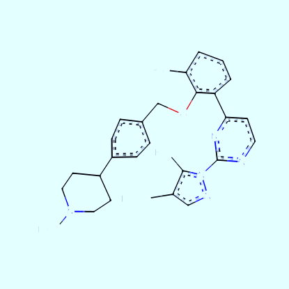 CCOC(=O)c1cnn(-c2nccc(-c3cccc(C(F)(F)F)c3OCc3ccc(C4CCN(C(=O)O)CC4)cc3)n2)c1C(F)(F)F